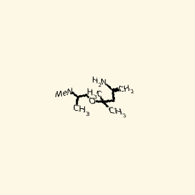 C=C(N)CC(C)(C)OCC(C)NC